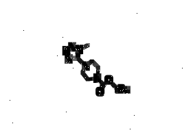 Cn1nnnc1N1CCN(C(=O)OC(C)(C)C)CC1